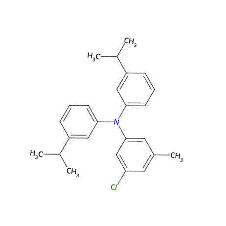 Cc1cc(Cl)cc(N(c2cccc(C(C)C)c2)c2cccc(C(C)C)c2)c1